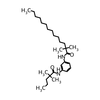 CCCCCCCCCCCCC(C)(C)C(=O)Nc1cccc(NC(=O)C(C)(C)CCC)c1